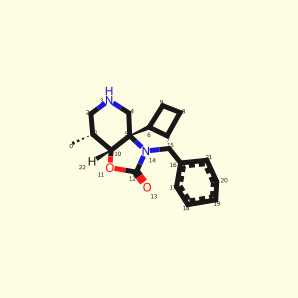 C[C@@H]1CNC[C@@]2(C3CCC3)[C@@H]1OC(=O)N2Cc1ccccc1